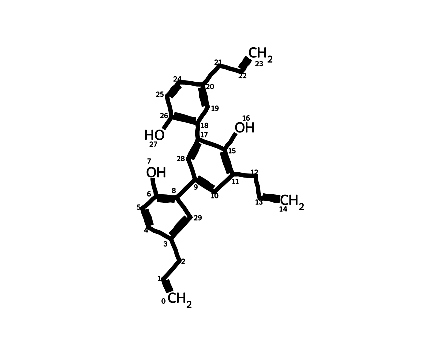 C=CCc1ccc(O)c(-c2cc(CC=C)c(O)c(-c3cc(CC=C)ccc3O)c2)c1